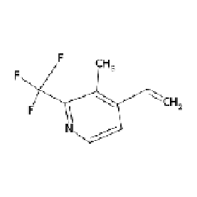 C=Cc1ccnc(C(F)(F)F)c1C